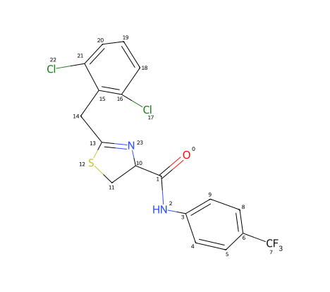 O=C(Nc1ccc(C(F)(F)F)cc1)C1CSC(Cc2c(Cl)cccc2Cl)=N1